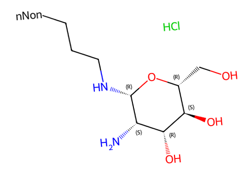 CCCCCCCCCCCCN[C@@H]1O[C@H](CO)[C@@H](O)[C@H](O)[C@@H]1N.Cl